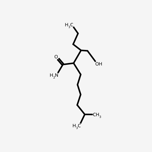 CCCC(CO)C(CCCCC(C)C)C(N)=O